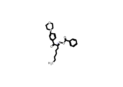 CCCCCC/C(=N\OC(=O)c1ccccc1)C(=O)c1ccc(N2CCOCC2)cc1